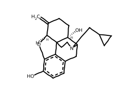 C=C1CC[C@@]2(O)C3Cc4ccc(O)c5c4C2(CCN3CC2CC2)[C@H]1O5